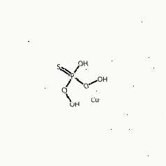 OOP(O)(=S)OO.[Cu]